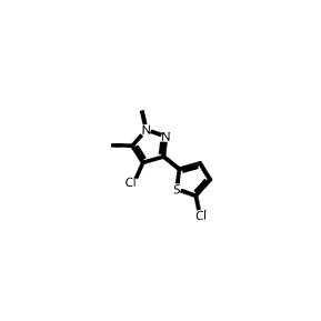 Cc1c(Cl)c(-c2ccc(Cl)s2)nn1C